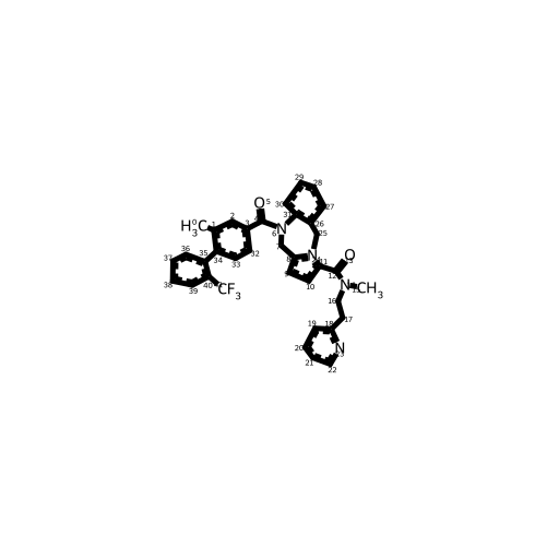 Cc1cc(C(=O)N2Cc3ccc(C(=O)N(C)CCc4ccccn4)n3Cc3ccccc32)ccc1-c1ccccc1C(F)(F)F